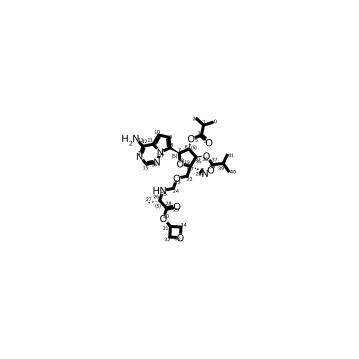 CC(C)C(=O)O[C@H]1[C@H](c2ccc3c(N)ncnn23)O[C@](C#N)(COCN[C@@H](C)C(=O)OC2COC2)[C@H]1OC(=O)C(C)C